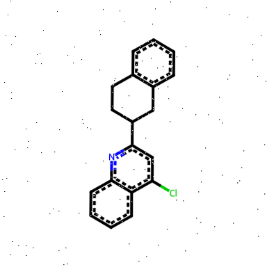 Clc1cc(C2CCc3ccccc3C2)nc2ccccc12